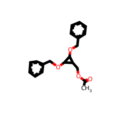 CC(=O)OCC1C(OCc2ccccc2)C1OCc1ccccc1